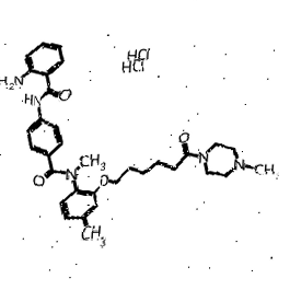 Cc1ccc(N(C)C(=O)c2ccc(NC(=O)c3ccccc3N)cc2)c(OCCCCCC(=O)N2CCN(C)CC2)c1.Cl.Cl